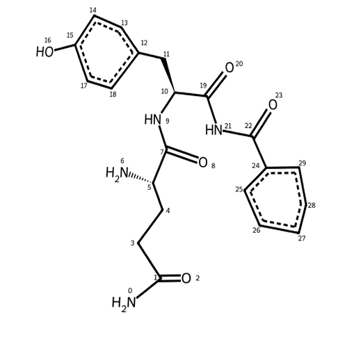 NC(=O)CC[C@H](N)C(=O)N[C@@H](Cc1ccc(O)cc1)C(=O)NC(=O)c1ccccc1